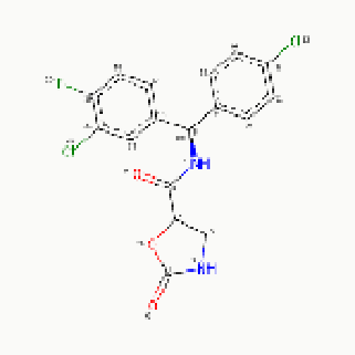 O=C1NCC(C(=O)N[C@H](c2ccc(Cl)cc2)c2ccc(F)c(Cl)c2)O1